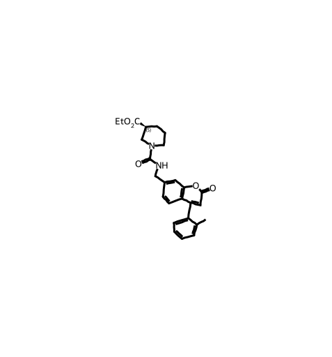 CCOC(=O)[C@H]1CCCN(C(=O)NCc2ccc3c(-c4ccccc4C)cc(=O)oc3c2)C1